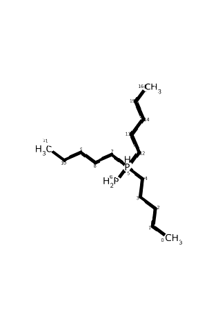 CCCCC[PH](P)(CCCCC)CCCCC